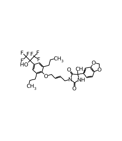 CCCc1cc(C(O)(C(F)(F)F)C(F)(F)F)cc(CCC)c1OCC=CCN1C(=O)NC(C)(c2ccc3c(c2)OCO3)C1=O